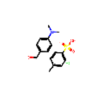 CN(C)c1ccc(C=O)cc1.Cc1ccc(S(=O)(=O)O)cc1.Cl